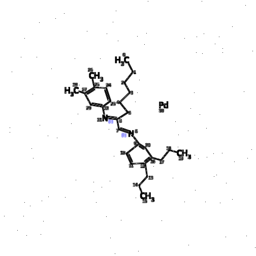 CCCCCCC(/C=N/c1ccc(CCC)c(CCC)c1)=N\c1ccc(C)c(C)c1.[Pd]